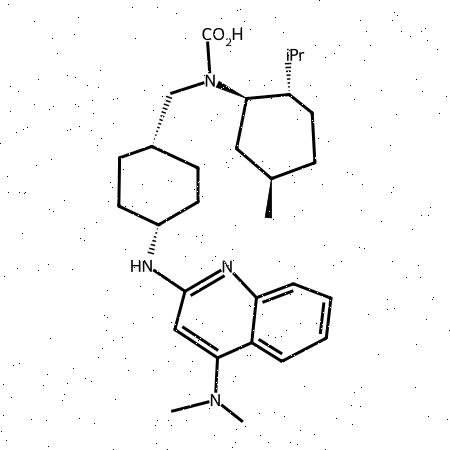 CC(C)[C@@H]1CC[C@@H](C)C[C@H]1N(C[C@H]1CC[C@@H](Nc2cc(N(C)C)c3ccccc3n2)CC1)C(=O)O